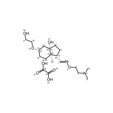 CN(C)CCON=C[C@H]1CC[C@]2(O)C[C@@H](OCCO)CC[C@]12C.O=C(O)C(=O)O